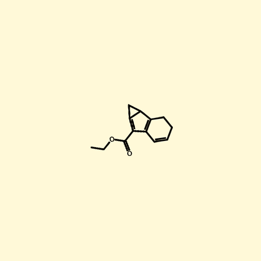 CCOC(=O)C1=C2CC2C2=C1C=CCC2